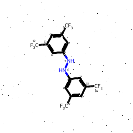 FC(F)(F)c1cc(NNc2cc(C(F)(F)F)cc(C(F)(F)F)c2)cc(C(F)(F)F)c1